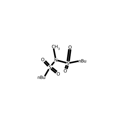 CCCCS(=O)(=O)N(C)S(=O)(=O)CCCC